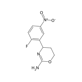 NC1=NC(c2cc([N+](=O)[O-])ccc2F)CCO1